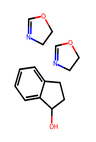 C1=NCCO1.C1=NCCO1.OC1CCc2ccccc21